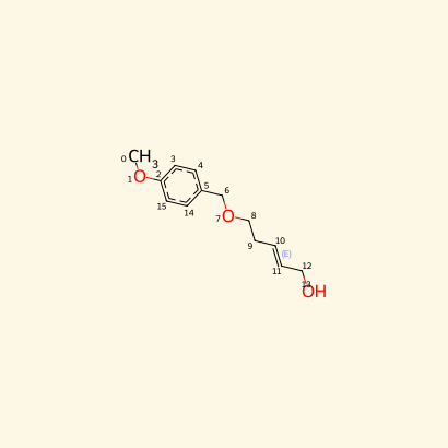 COc1ccc(COCC/C=C/CO)cc1